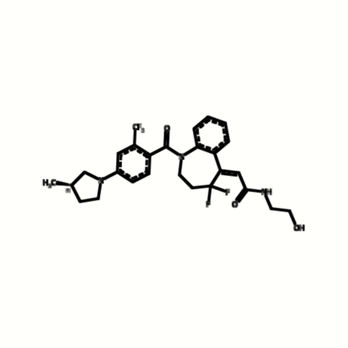 C[C@@H]1CCN(c2ccc(C(=O)N3CCC(F)(F)C(=CC(=O)NCCO)c4ccccc43)c(C(F)(F)F)c2)C1